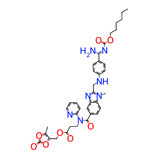 CCCCCCOC(=O)/N=C(\N)c1ccc(NCc2nc3cc(C(=O)N(CCC(=O)OCc4oc(=O)oc4C)c4ccccn4)ccc3n2C)cc1